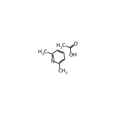 CC(=O)O.Cc1cccc(C)n1